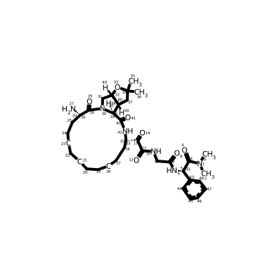 CN(C)C(=O)[C@@H](NC(=O)CNC(=O)C(=O)[C@@H]1CCCCCCCCCC[C@H](N)C(=O)N2C[C@@H]3OC(C)(C)C[C@@H]3[C@H]2C(=O)N1)c1ccccc1